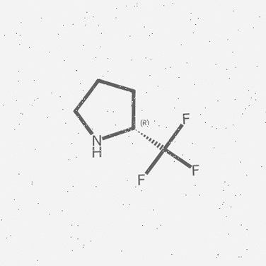 FC(F)(F)[C@H]1CCCN1